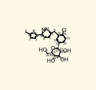 Cc1ccc(-c2ccc(Cc3cc([C@@H]4O[C@H](CO)[C@@H](O)[C@H](O)[C@H]4O)ccc3Cl)nn2)s1